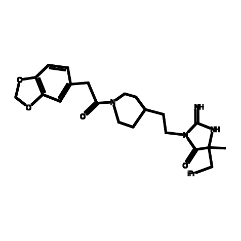 CC(C)CC1(C)NC(=N)N(CCC2CCN(C(=O)Cc3ccc4c(c3)OCO4)CC2)C1=O